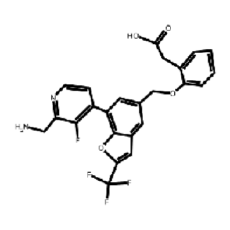 NCc1nccc(-c2cc(COc3ccccc3CC(=O)O)cc3cc(C(F)(F)F)oc23)c1F